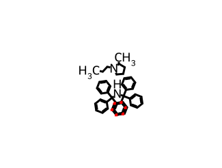 CCCN1CCCC1C.c1ccc(C(NC(c2ccccc2)(c2ccccc2)c2ccccc2)(c2ccccc2)c2ccccc2)cc1